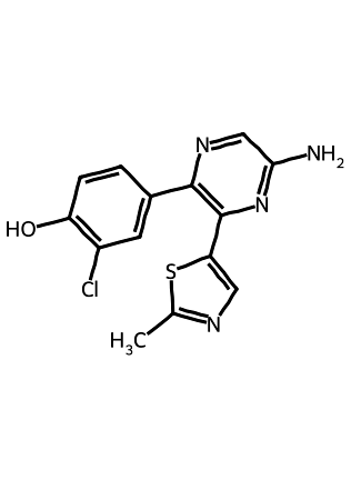 Cc1ncc(-c2nc(N)cnc2-c2ccc(O)c(Cl)c2)s1